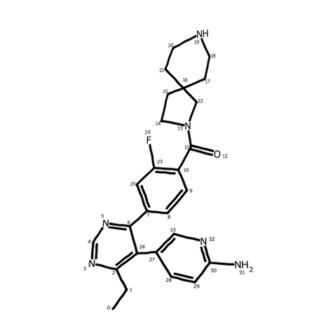 CCc1ncnc(-c2ccc(C(=O)N3CCC4(CCNCC4)C3)c(F)c2)c1-c1ccc(N)nc1